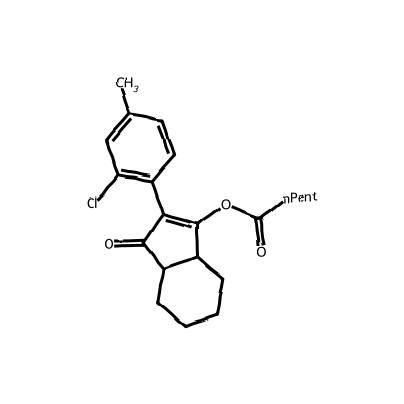 CCCCCC(=O)OC1=C(c2ccc(C)cc2Cl)C(=O)C2CCCCC12